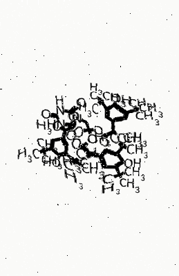 CC(C(=O)OC(Cn1c(=O)[nH]c(=O)[nH]c1=O)(OC(=O)C(C)c1cc(C(C)(C)C)c(O)c(C(C)(C)C)c1)OC(=O)C(C)c1cc(C(C)(C)C)c(O)c(C(C)(C)C)c1)c1cc(C(C)(C)C)c(O)c(C(C)(C)C)c1